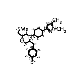 CSCC1CN(C2CCC(c3cc(C)n(C)n3)CC2)C(Cc2ccc(Br)cc2)CO1